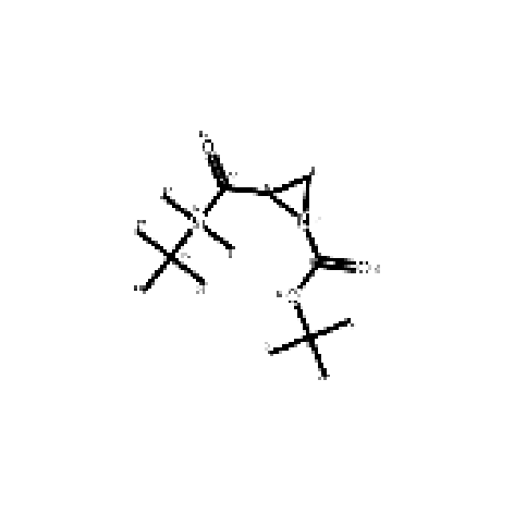 CC(C)(C)OC(=O)N1CC1C(=O)[Si](C)(C)C(C)(C)C